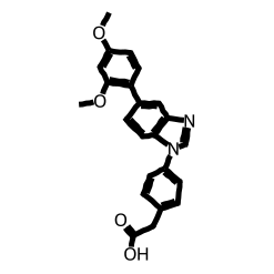 COc1ccc(-c2ccc3c(c2)ncn3-c2ccc(CC(=O)O)cc2)c(OC)c1